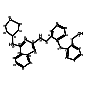 OCc1ccccc1Sc1ccccc1CNc1nc(NC2CCOCC2)c2ccccc2n1